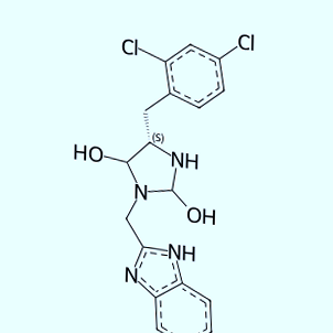 OC1N[C@@H](Cc2ccc(Cl)cc2Cl)C(O)N1Cc1nc2ccccc2[nH]1